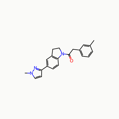 Cc1cccc(CC(=O)N2CCc3cc(-c4ccn(C)n4)ccc32)c1